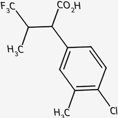 Cc1cc(C(C(=O)O)C(C)C(F)(F)F)ccc1Cl